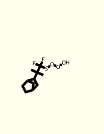 CC(C)(C1CC2CCC1C2)C(F)(F)SOOO